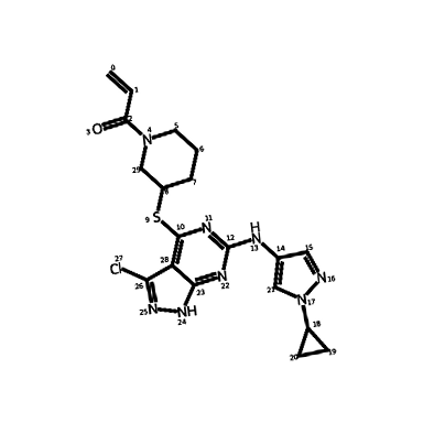 C=CC(=O)N1CCCC(Sc2nc(Nc3cnn(C4CC4)c3)nc3[nH]nc(Cl)c23)C1